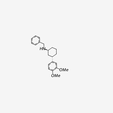 COc1ccc([C@H]2CCC[C@H](NCc3ccccc3)C2)cc1OC